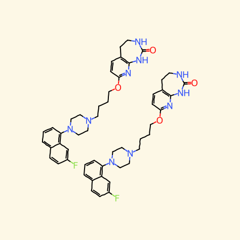 O=C1NCCc2ccc(OCCCCN3CCN(c4cccc5ccc(F)cc45)CC3)nc2N1.O=C1NCCc2ccc(OCCCCN3CCN(c4cccc5ccc(F)cc45)CC3)nc2N1